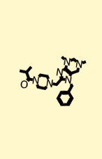 CC(C)C(=O)N1CCN(Cc2nc3c(n2Cc2ccccc2)CN(C)CN3C)CC1